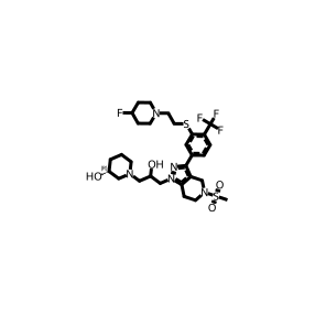 CS(=O)(=O)N1CCc2c(c(-c3ccc(C(F)(F)F)c(SCCN4CCC(F)CC4)c3)nn2CC(O)CN2CCC[C@@H](O)C2)C1